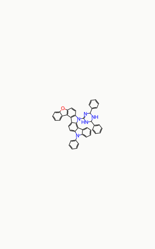 c1ccc(C2N=C(n3c4ccc5oc6ccccc6c5c4c4ccc5c(c6ccccc6n5-c5ccccc5)c43)NC(c3ccccc3)N2)cc1